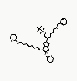 CC(C)(C)[Si](C)(C)OCC(CCCCOCc1ccccc1)C1=CC2C[C@@H](OC3CCCCO3)[C@H](C=CCCCCCCOC3CCCCO3)C2C1